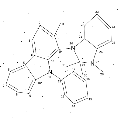 Cc1ccc2c3ccccc3n(-c3ccccc3)c2c1N1c2ccccc2N(C)C1(C)C